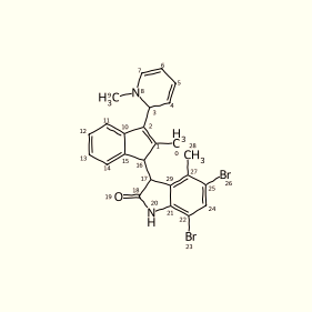 CC1=C(C2C=CC=CN2C)c2ccccc2C1C1C(=O)Nc2c(Br)cc(Br)c(C)c21